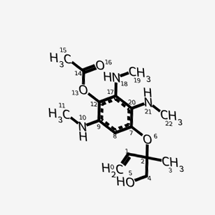 C=CC(C)(CO)Oc1cc(NC)c(OC(C)=O)c(NC)c1NC